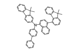 CC1(C)c2ccccc2-c2ccc(N(c3ccc(-c4ccccc4)cc3)c3ccc(-c4cccc5c4-c4ccccc4C5(C)C)c4ccccc34)cc21